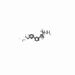 CN(C)Cc1cccc(-c2cccc(-c3cc(C(N)=O)on3)c2)c1